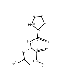 CCCCC(C)C[C@H](NC(=O)[C@@H]1CCCN1)C(=O)NCC